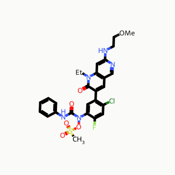 CCn1c(=O)c(-c2cc(N(OS(C)(=O)=O)C(=O)Nc3ccccc3)c(F)cc2Cl)cc2cnc(NCCOC)cc21